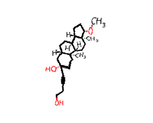 CO[C@H]1CC[C@H]2[C@@H]3CC[C@H]4C[C@](O)(C#CCCO)CC[C@]4(C)[C@H]3CC[C@]12C